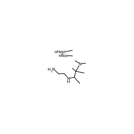 CC(NCCN)C(C)(C)N(C)C.CCCCCCCC.CCCCCCCCCC